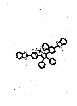 CC(C)(C)[Si]1(c2ccccc2)C(c2ccc(-c3nc4ccccc4s3)cc2)=C(c2ccccc2)C(c2ccccc2)=C1c1ccc(-c2nc3ccccc3s2)cc1